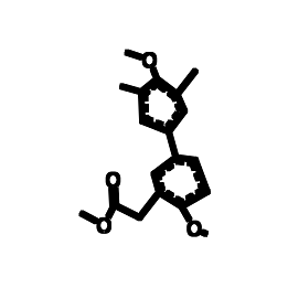 COC(=O)Cc1cc(-c2cc(C)c(OC)c(C)c2)ccc1OC